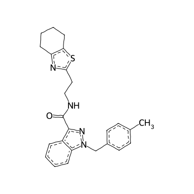 Cc1ccc(Cn2nc(C(=O)NCCc3nc4c(s3)CCCC4)c3ccccc32)cc1